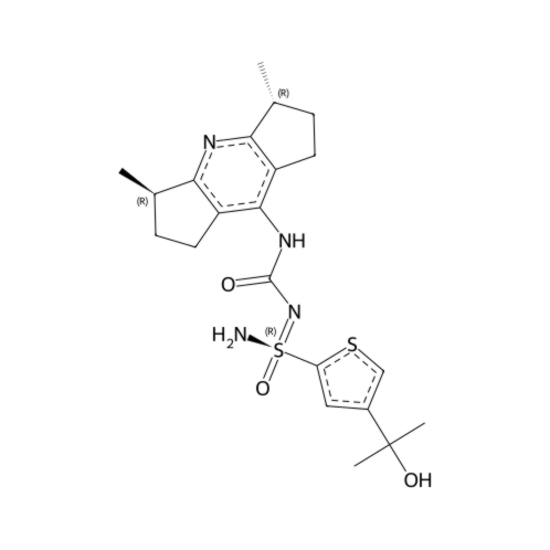 C[C@@H]1CCc2c1nc1c(c2NC(=O)N=[S@@](N)(=O)c2cc(C(C)(C)O)cs2)CC[C@H]1C